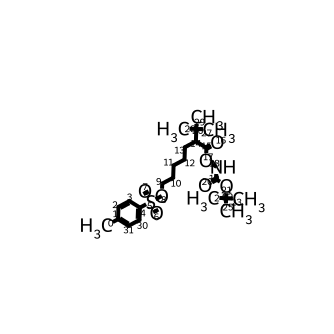 Cc1ccc(S(=O)(=O)OCCCCCC(C(=O)ONC(=O)OC(C)(C)C)C(C)(C)C)cc1